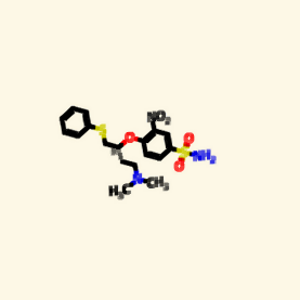 CN(C)CC[C@H](CSc1ccccc1)Oc1ccc(S(N)(=O)=O)cc1[N+](=O)[O-]